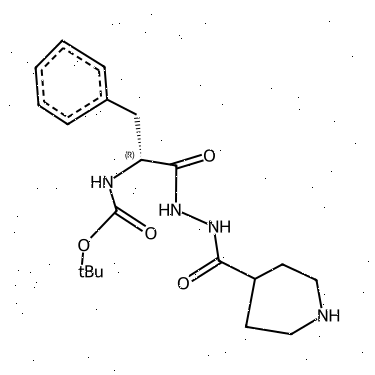 CC(C)(C)OC(=O)N[C@H](Cc1ccccc1)C(=O)NNC(=O)C1CCNCC1